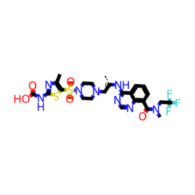 Cc1nc(NC(=O)O)sc1S(=O)(=O)N1CCN(C[C@H](C)Nc2ncnc3c(C(=O)N(C)CC(F)(F)F)cccc23)CC1